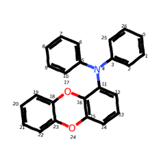 c1ccc(N(c2ccccc2)c2cccc3c2Oc2ccccc2O3)cc1